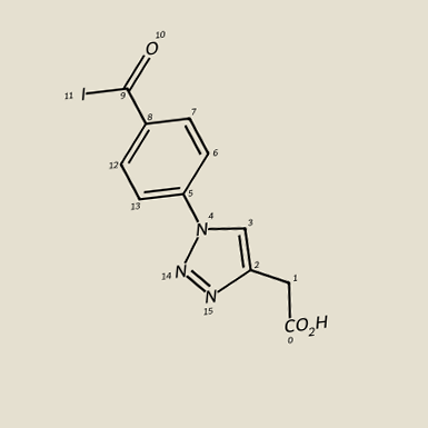 O=C(O)Cc1cn(-c2ccc(C(=O)I)cc2)nn1